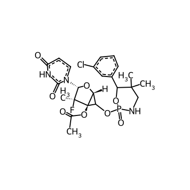 CC(=O)O[C@]12C(OP3(=O)NCC(C)(C)C(c4cccc(Cl)c4)O3)[C@H]1O[C@@H](n1ccc(=O)[nH]c1=O)[C@]2(C)F